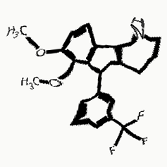 COc1ccc2c(c1OC)C(c1cccc(C(F)(F)F)c1)C1CCCNC21